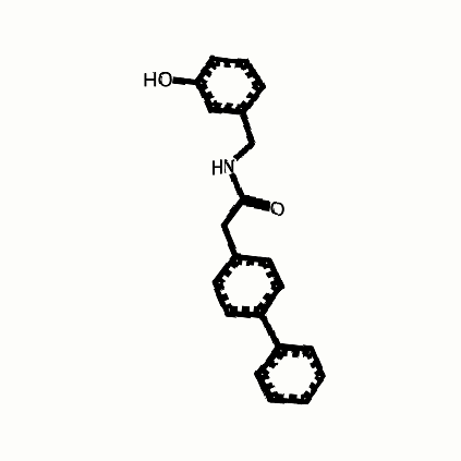 O=C(Cc1ccc(-c2ccccc2)cc1)NCc1cccc(O)c1